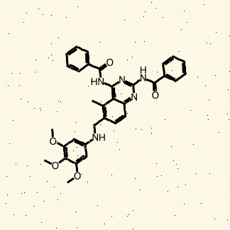 COc1cc(NCc2ccc3nc(NC(=O)c4ccccc4)nc(NC(=O)c4ccccc4)c3c2C)cc(OC)c1OC